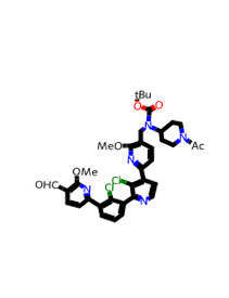 COc1nc(-c2cccc(-c3nccc(-c4ccc(CN(C(=O)OC(C)(C)C)C5CCN(C(C)=O)CC5)c(OC)n4)c3Cl)c2Cl)ccc1C=O